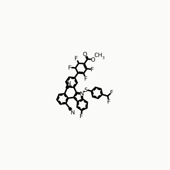 COC(=O)C1=C(F)C(F)=C(c2cccc(-c3c(-c4c(C#N)cccc4C#N)c4cc(F)ccc4n3Sc3ccc(C(F)F)cc3)c2)C(F)C1F